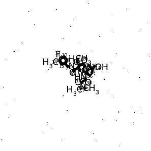 COc1c(C(=O)NCc2ccc(F)c(C)c2)nc2n(c1=O)CC1(CO)CCC2(NC(=O)C(=O)N(C)C)CC1